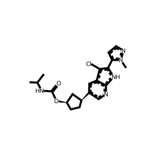 CC(C)NC(=O)O[C@@H]1CC[C@H](c2cnc3[nH]c(-c4ccnn4C)c(Cl)c3c2)C1